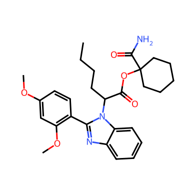 CCCCC(C(=O)OC1(C(N)=O)CCCCC1)n1c(-c2ccc(OC)cc2OC)nc2ccccc21